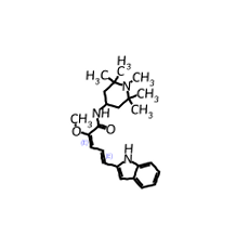 CO/C(=C/C=C/c1cc2ccccc2[nH]1)C(=O)NC1CC(C)(C)N(C)C(C)(C)C1